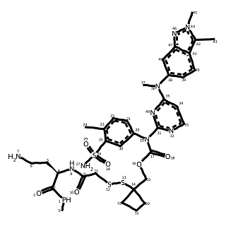 CPC(=O)[C@@H](CCN)NC(=O)CSSC1(COC(=O)N(c2ccc(C)c(S(N)(=O)=O)c2)c2nccc(N(C)c3ccc4c(C)n(C)nc4c3)n2)CCC1